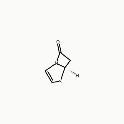 O=C1C[C@H]2S[C]=CN12